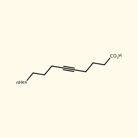 CCCCCCCCCC#CCCCC(=O)O